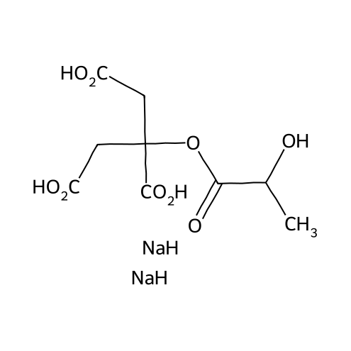 CC(O)C(=O)OC(CC(=O)O)(CC(=O)O)C(=O)O.[NaH].[NaH]